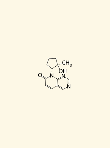 C[C@@]1(O)CCC[C@H]1n1c(=O)ccc2cncnc21